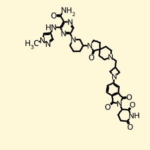 Cn1cc(Nc2nc(N3CCCC(N4CCC5(CCN(CC6CN(c7ccc8c(c7)C(=O)N(C7CCC(=O)NC7=O)C8=O)C6)CC5)C4=O)C3)cnc2C(N)=O)cn1